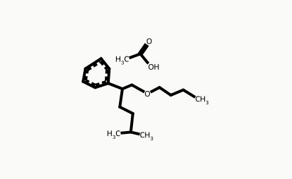 CC(=O)O.CCCCOCC(CCC(C)C)c1ccccc1